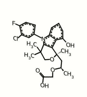 C[C@H](C[C@@]1(C)OCC(C)(C)c2c1c1c(O)cccc1n2-c1ccc(F)c(Cl)c1)OCC(=O)O